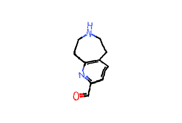 O=Cc1ccc2c(n1)CCNCC2